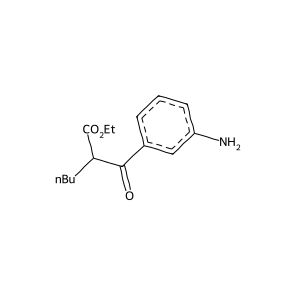 CCCCC(C(=O)OCC)C(=O)c1cccc(N)c1